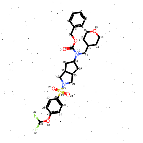 O=C(OCc1ccccc1)N(CC1CCOCC1)C1CC2CN(S(=O)(=O)c3ccc(OC(F)F)cc3)CC2C1